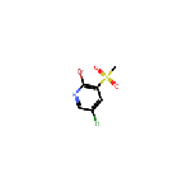 CS(=O)(=O)c1cc(Cl)cnc1Br